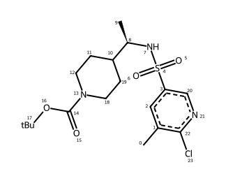 Cc1cc(S(=O)(=O)N[C@H](C)C2CCN(C(=O)OC(C)(C)C)CC2)cnc1Cl